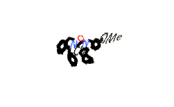 COc1cccc(CN(C(=O)CN2CCc3ccccc3C2c2ccccc2C)C2Cc3ccccc3C2)c1